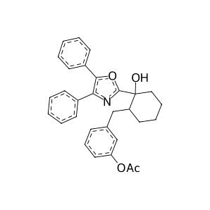 CC(=O)Oc1cccc(CC2CCCCC2(O)c2nc(-c3ccccc3)c(-c3ccccc3)o2)c1